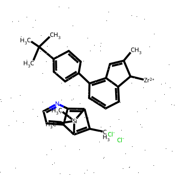 CC1=C2C3=CC=NC3=C1[Si]2(C)C.CC1=Cc2c(-c3ccc(C(C)(C)C)cc3)cccc2[CH]1[Zr+2].[Cl-].[Cl-]